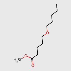 CCCCCOCCCCC(=O)O[SiH3]